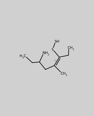 CC/C(SS)=C(\C)CC(N)CC